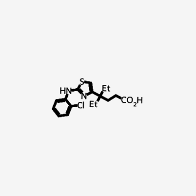 CCC(CC)(CCC(=O)O)c1csc(Nc2ccccc2Cl)n1